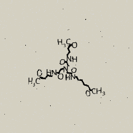 CC(=O)CCCCCNC(=O)CN(CC(=O)NCCCC(C)=O)CC(=O)NCCCC(C)=O